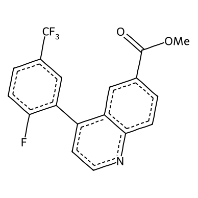 COC(=O)c1ccc2nccc(-c3cc(C(F)(F)F)ccc3F)c2c1